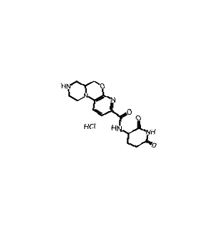 Cl.O=C1CCC(NC(=O)c2ccc3c(n2)OCC2CNCCN32)C(=O)N1